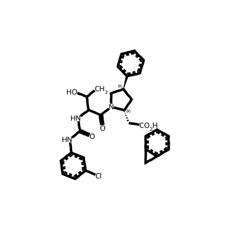 CC(O)C(NC(=O)Nc1cccc(Cl)c1)C(=O)N1C[C@@H](c2ccccc2)C[C@@H]1CC(=O)O.c1ccc2c(c1)C2